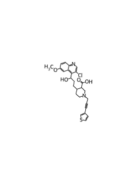 COc1ccc2ncc(Cl)c(C(O)CCC3CCN(CC#Cc4ccsc4)CC3C(=O)O)c2c1